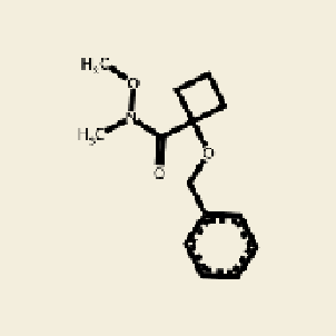 CON(C)C(=O)C1(OCc2ccccc2)CCC1